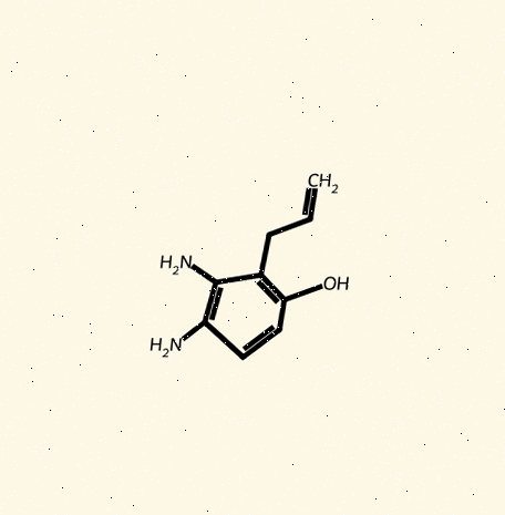 C=CCc1c(O)ccc(N)c1N